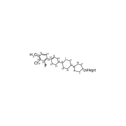 CCCCCCCC1CCC(C2CCC(C3CC=C(c4ccc(C)c(Cl)c4F)CC3)CC2)CC1